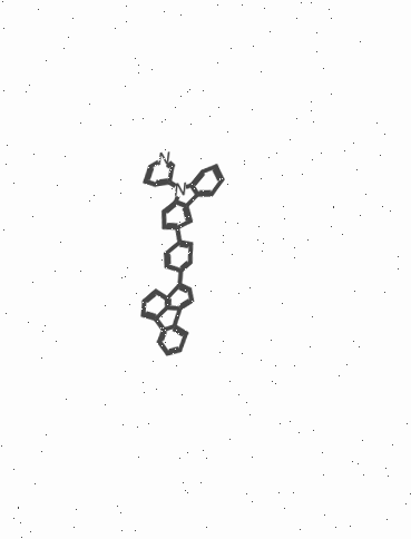 c1cncc(-n2c3ccccc3c3cc(-c4ccc(-c5ccc6c7c(cccc57)-c5ccccc5-6)cc4)ccc32)c1